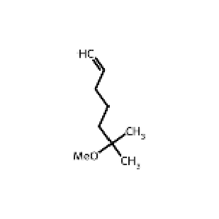 [CH]=CCCCC(C)(C)OC